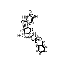 [2H]c1cn([C@@H]2O[C@H](C([2H])([2H])OP3(=O)OCc4ccccc4O3)[C@@H](O)[C@@]2(C)O)c(=O)[nH]c1=O